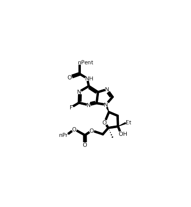 CCCCCC(=O)Nc1nc(F)nc2c1ncn2[C@H]1C[C@@](O)(CC)[C@@](C)(COC(=O)OCCC)O1